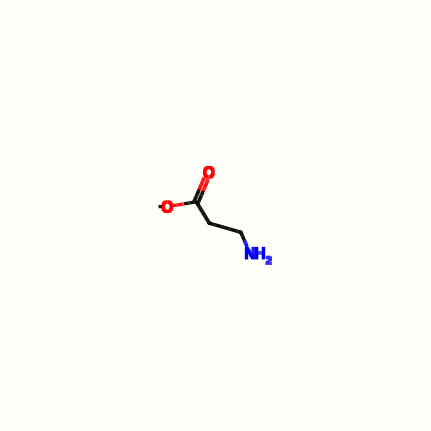 NCCC([O])=O